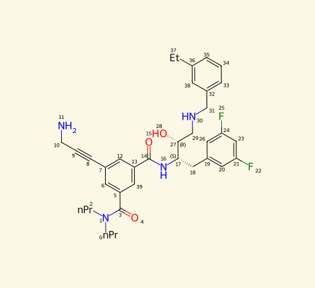 CCCN(CCC)C(=O)c1cc(C#CCN)cc(C(=O)N[C@@H](Cc2cc(F)cc(F)c2)[C@H](O)CNCc2cccc(CC)c2)c1